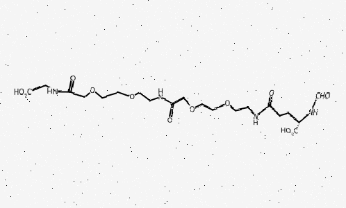 O=CN[C@@H](CCC(=O)NCCOCCOCC(=O)NCCOCCOCC(=O)NCC(=O)O)C(=O)O